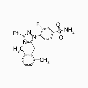 CCc1nc(Cc2c(C)cccc2C)n(-c2ccc(S(N)(=O)=O)cc2F)n1